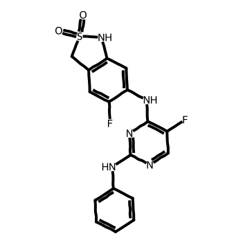 O=S1(=O)Cc2cc(F)c(Nc3nc(Nc4ccccc4)ncc3F)cc2N1